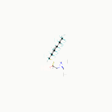 CN(C)CC(O)SC(F)(F)C(F)(F)C(F)(F)C(F)(F)C(F)(F)C(F)(F)F